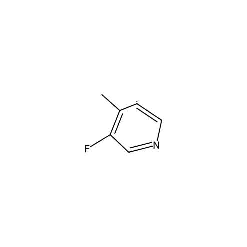 Cc1[c]cncc1F